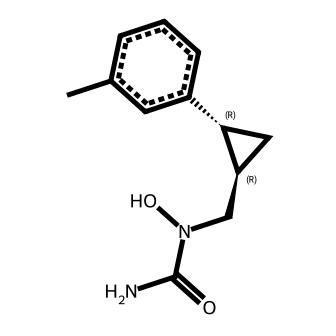 Cc1cccc([C@@H]2C[C@H]2CN(O)C(N)=O)c1